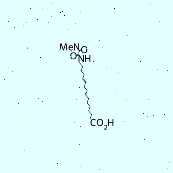 CNC(=O)C(=O)NCCCCC=CCCCCCCCCCC(=O)O